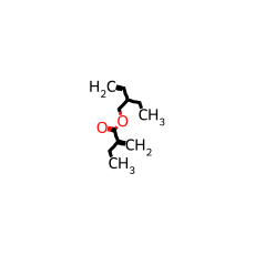 C=CC(CC)COC(=O)C(=C)CC